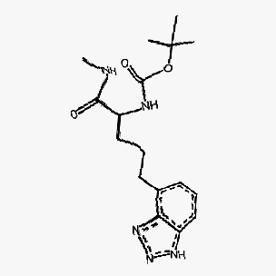 CNC(=O)C(CCCc1cccc2[nH]nnc12)NC(=O)OC(C)(C)C